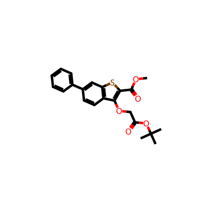 COC(=O)c1sc2cc(-c3ccccc3)ccc2c1OCC(=O)OC(C)(C)C